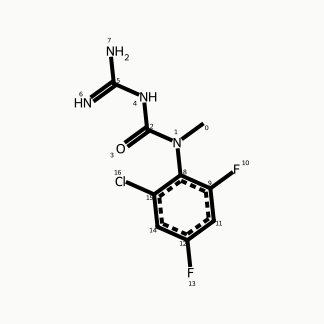 CN(C(=O)NC(=N)N)c1c(F)cc(F)cc1Cl